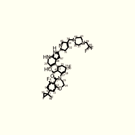 O=C1c2c(F)cc(C3(F)CC3)cc2OCCN1C1=C[C@@H](F)C[C@@H](C2=CCNc3[nH]c([C@H]4CC=C(CN5CCN(CC(F)F)CC5)C=N4)cc32)C1CO